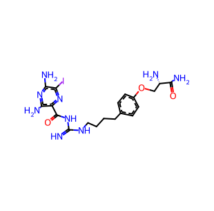 N=C(NCCCCc1ccc(OC[C@H](N)C(N)=O)cc1)NC(=O)c1nc(I)c(N)nc1N